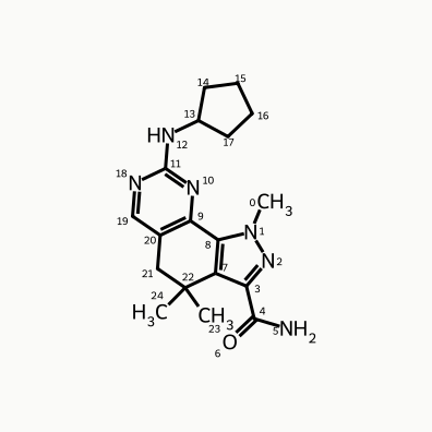 Cn1nc(C(N)=O)c2c1-c1nc(NC3CCCC3)ncc1CC2(C)C